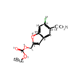 CC(C)(C)OC(=O)OCc1cc2cc(C(=O)O)c(F)cc2o1